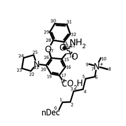 CCCCCCCCCCCCCCCC[N+](C)(C)C.NS(=O)(=O)c1cc(C(=O)O)cc(N2CCCC2)c1Oc1ccccc1